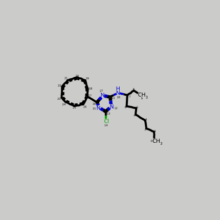 CCCCCCCC(CC)Nc1nc(Cl)nc(-c2ccccccccc2)n1